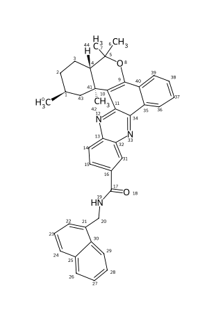 C[C@H]1CC[C@@H]2C(C)(C)Oc3c(c4nc5ccc(C(=O)NCc6cccc7ccccc67)cc5nc4c4ccccc34)[C@@]2(C)C1